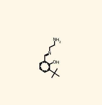 CC(C)(C)c1cccc(C=NCCN)c1O